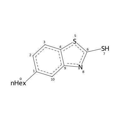 CCCCCCc1ccc2sc(S)nc2c1